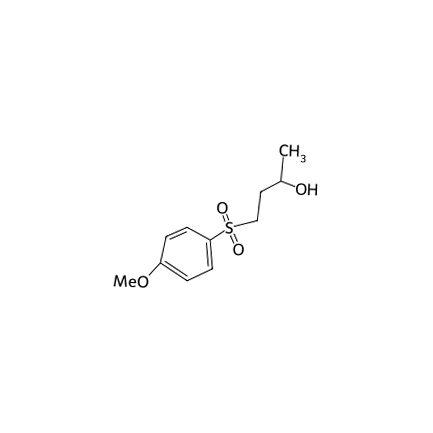 COc1ccc(S(=O)(=O)CCC(C)O)cc1